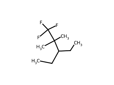 CCC(CC)C(C)(C)C(F)(F)F